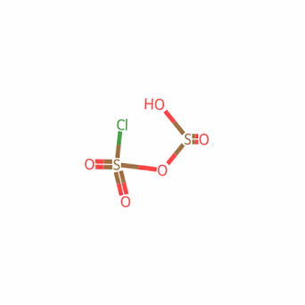 O=S(O)OS(=O)(=O)Cl